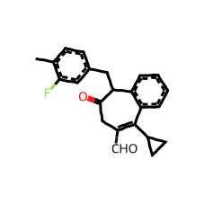 Cc1ccc(CC2C(=O)CC(C=O)=C(C3CC3)c3ccccc32)cc1F